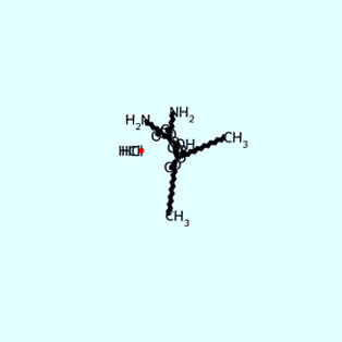 CCCCCCCCCCCCCC(=O)OC[C@H](COP(=O)(O)OCC(COC(=O)CCCCN)OC(=O)CCCCN)OC(=O)CCCCCCCCCCCCC.Cl.Cl